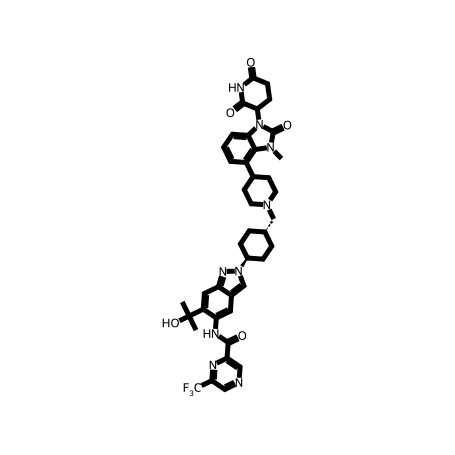 Cn1c(=O)n(C2CCC(=O)NC2=O)c2cccc(C3CCN(C[C@H]4CC[C@H](n5cc6cc(NC(=O)c7cncc(C(F)(F)F)n7)c(C(C)(C)O)cc6n5)CC4)CC3)c21